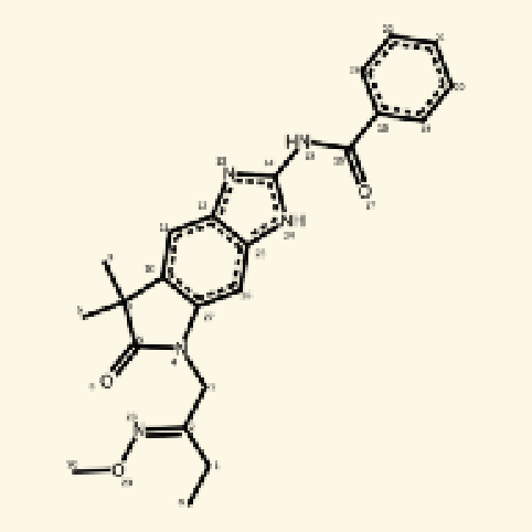 CCC(CN1C(=O)C(C)(C)c2cc3nc(NC(=O)c4ccccc4)[nH]c3cc21)=NOC